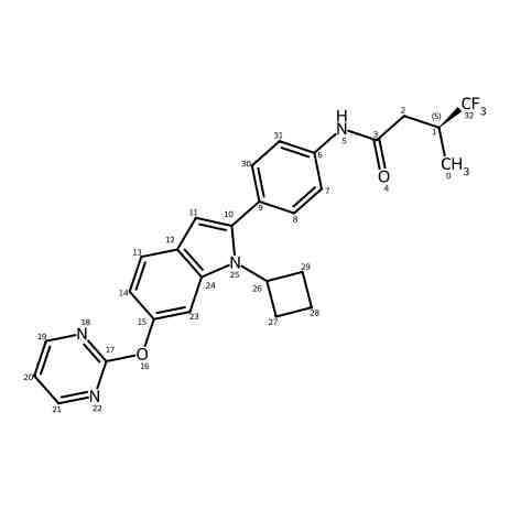 C[C@@H](CC(=O)Nc1ccc(-c2cc3ccc(Oc4ncccn4)cc3n2C2CCC2)cc1)C(F)(F)F